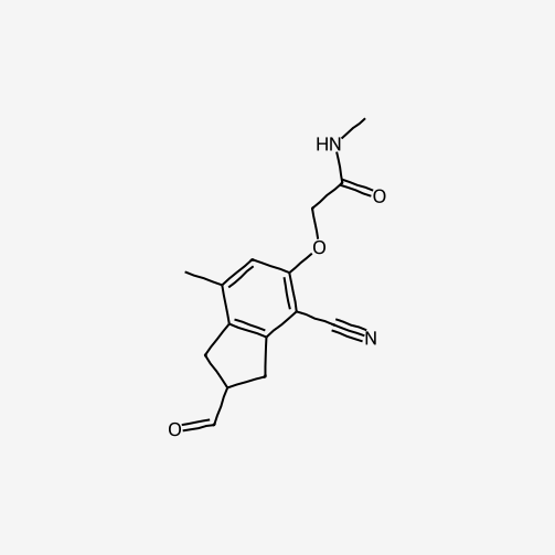 CNC(=O)COc1cc(C)c2c(c1C#N)CC(C=O)C2